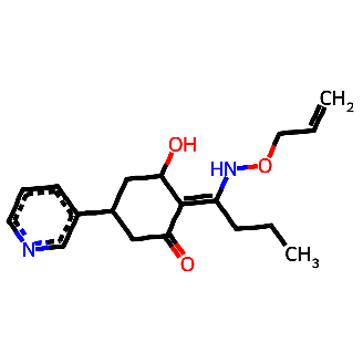 C=CCONC(CCC)=C1C(=O)CC(c2cccnc2)CC1O